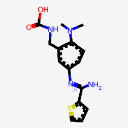 CN(C)c1ccc(/N=C(\N)c2cccs2)cc1CNC(=O)O